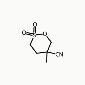 CC1(C#N)CCS(=O)(=O)OC1